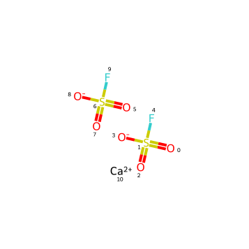 O=S(=O)([O-])F.O=S(=O)([O-])F.[Ca+2]